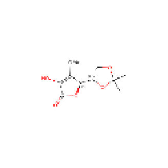 COC1=C(O)C(=O)O[C@@H]1[C@@H]1COC(C)(C)O1